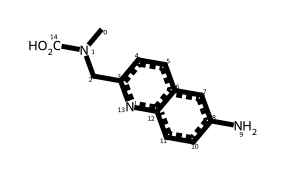 CN(Cc1ccc2cc(N)ccc2n1)C(=O)O